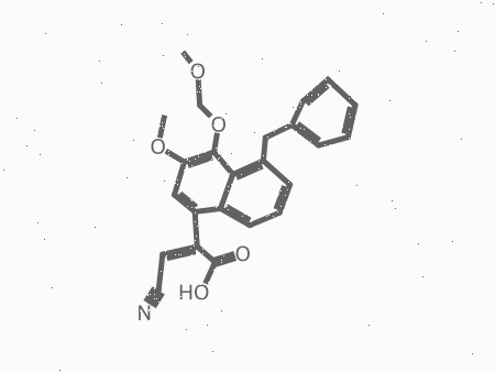 COCOc1c(OC)cc(C(=CC#N)C(=O)O)c2cccc(Cc3ccccc3)c12